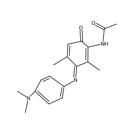 CC(=O)NC1=C(C)C(=Nc2ccc(N(C)C)cc2)C(C)=CC1=O